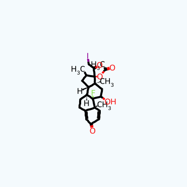 CC(=O)O[C@]1(C(=O)CI)C(C)C[C@H]2[C@@H]3CCC4=CC(=O)C=C[C@]4(C)[C@@]3(F)C(O)C[C@@]21C